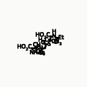 CCC(=O)NC(C(=O)O)C(C)(C)SC(=O)CC(=O)SC(C)(C)C(NC(C)=O)C(=O)O